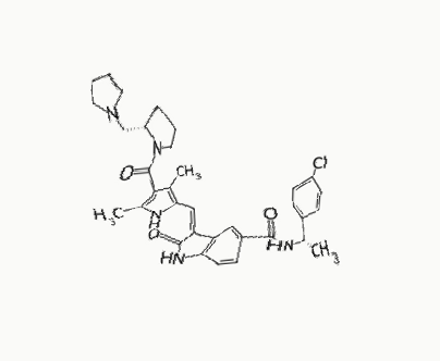 Cc1[nH]c(C=C2C(=O)Nc3ccc(C(=O)N[C@@H](C)c4ccc(Cl)cc4)cc32)c(C)c1C(=O)N1CCC[C@H]1CN1CCCC1